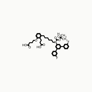 CC(C)(C)OC(=O)N(CCCCCCc1cccc(OCCCC(=O)O)c1CCC(=O)O)c1cc(-c2cccc(F)c2)cc(-c2cccc(F)c2)c1